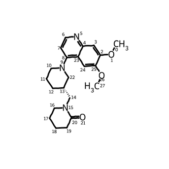 COc1cc2nccc(N3CCC[C@@H](CN4CCCCC4=O)C3)c2cc1OC